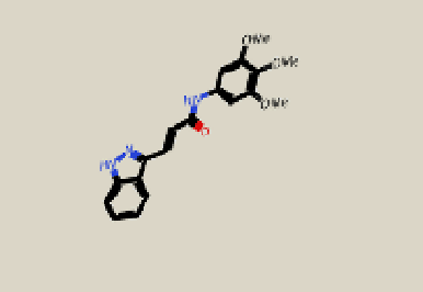 COc1cc(NC(=O)/C=C/c2n[nH]c3ccccc23)cc(OC)c1OC